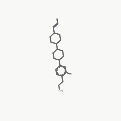 C/C=C/C1CCC(C2CCC(c3ccc(CCO)c(F)c3)CC2)CC1